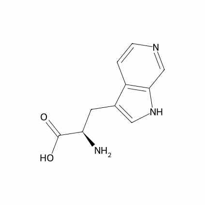 N[C@H](Cc1c[nH]c2cnccc12)C(=O)O